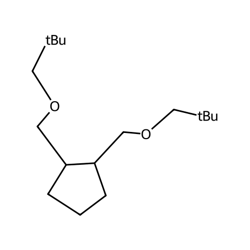 CC(C)(C)COCC1CCCC1COCC(C)(C)C